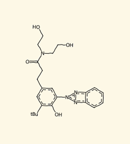 CC(C)(C)c1cc(CCC(=O)N(CCO)CCO)cc(-n2n3c4ccccc4n23)c1O